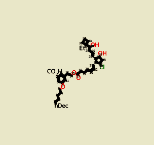 CCCCCCCCCCCCCCCOc1ccc(C(=O)O)c(CCOC(=O)CCC/C=C\C[C@@H]2[C@@H](/C=C/C[C@H](O)C3(CC)CCC3)[C@H](O)C[C@H]2Cl)c1